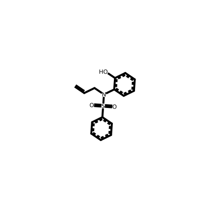 C=CCN(c1ccccc1O)S(=O)(=O)c1ccccc1